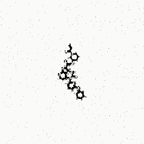 C=CC(=O)N1CCC[C@@H](NC(=O)c2sc3nccc4c3c2NC(=O)N4c2cccc(Oc3ccccc3)n2)C1